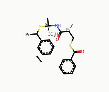 CC.CC(C)C(S[C@@](C)(NC(=O)[C@H](C)CSC(=O)c1ccccc1)C(=O)O)c1ccccc1